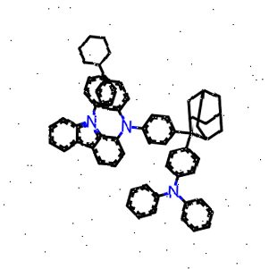 c1ccc(N(c2ccccc2)c2ccc(C3(c4ccc(N(c5ccc(C6CCCCC6)cc5)c5cccc6c7ccccc7n(-c7ccccc7)c56)cc4)C4CC5CC(C4)CC3C5)cc2)cc1